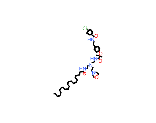 CC/C=C\C/C=C\C/C=C\C/C=C\C/C=C\C/C=C\CCC(=O)NCCN(CCNC(=O)C(C)(C)Oc1ccc(CCNC(=O)c2ccc(Cl)cc2)cc1)CCN1CCOCC1